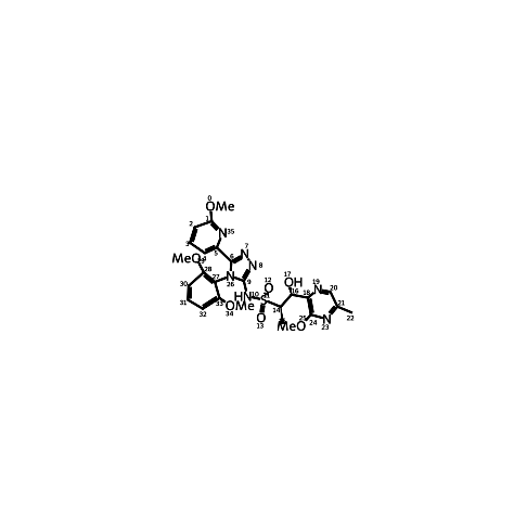 COc1cccc(-c2nnc(NS(=O)(=O)[C@H](C)[C@@H](O)c3ncc(C)nc3OC)n2-c2c(OC)cccc2OC)n1